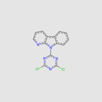 Clc1nc(Cl)nc(-n2c3ccccc3c3cccnc32)n1